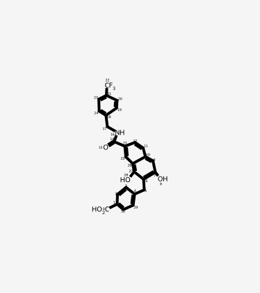 O=C(O)c1ccc(Cc2c(O)cc3ccc(C(=O)NCc4ccc(C(F)(F)F)cc4)cc3c2O)cc1